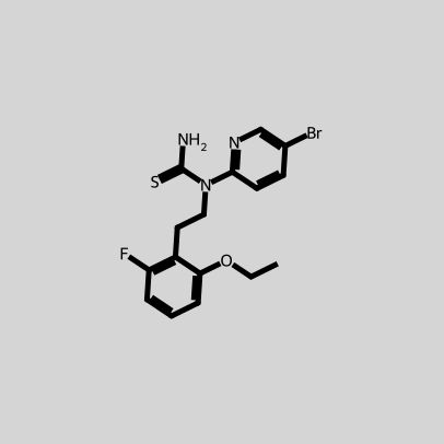 CCOc1cccc(F)c1CCN(C(N)=S)c1ccc(Br)cn1